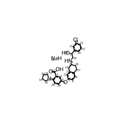 O=C(O)c1cc(Oc2ccc3c(c2)C[C@@H](NC[C@@H](O)c2cccc(Cl)c2)CC3)ccc1N1CCCC1.[NaH]